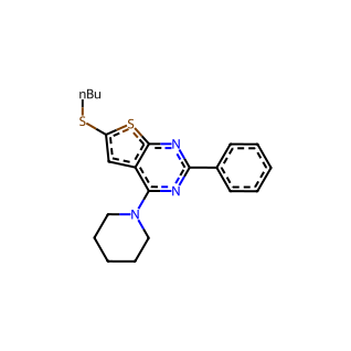 CCCCSc1cc2c(N3CCCCC3)nc(-c3ccccc3)nc2s1